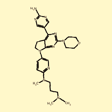 CN(C)CCCN(C)c1ccc(N2CCc3c(-c4cnc(N)nc4)nc(N4CCOCC4)nc32)cn1